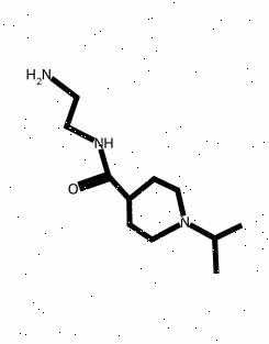 CC(C)N1CCC(C(=O)NCCN)CC1